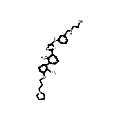 Cc1c(OCCCN2CCCC2)cccc1-c1cccc(-c2nnc(Nc3cccc(CNCCO)c3)o2)c1C